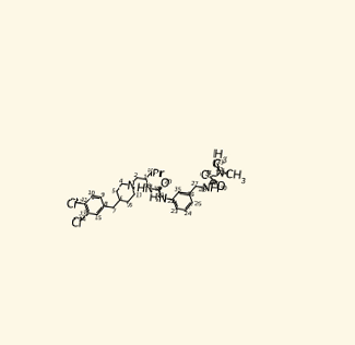 CC(C)C(CN1CCC(Cc2ccc(Cl)c(Cl)c2)CC1)NC(=O)Nc1cccc(CNS(=O)(=O)N(C)C)c1